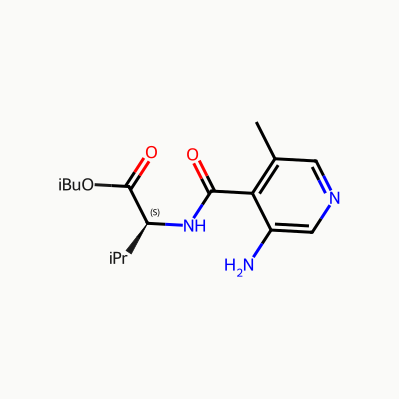 Cc1cncc(N)c1C(=O)N[C@H](C(=O)OCC(C)C)C(C)C